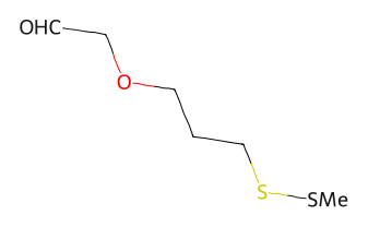 CSSCCCOCC=O